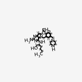 CCCCC(CO)Nc1nc(N)nc2ccn(Cc3cc(CN4CCNCC4)ccc3OC)c12